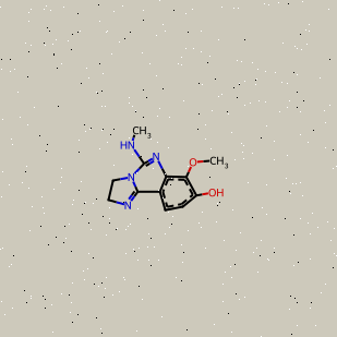 CNC1=Nc2c(ccc(O)c2OC)C2=NCCN12